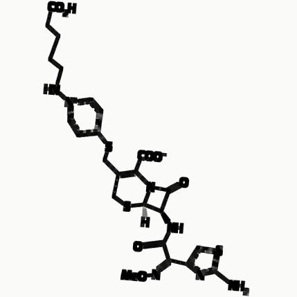 CO/N=C(\C(=O)N[C@@H]1C(=O)N2C(C(=O)[O-])=C(CSc3cc[n+](NCCCCC(=O)O)cc3)CS[C@H]12)c1csc(N)n1